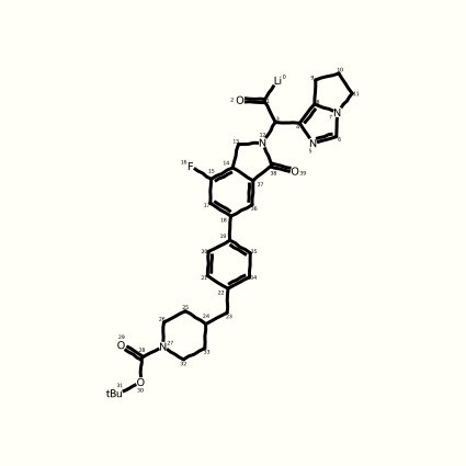 [Li][C](=O)C(c1ncn2c1CCC2)N1Cc2c(F)cc(-c3ccc(CC4CCN(C(=O)OC(C)(C)C)CC4)cc3)cc2C1=O